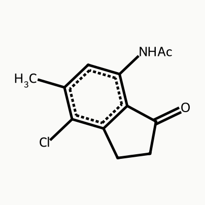 CC(=O)Nc1cc(C)c(Cl)c2c1C(=O)CC2